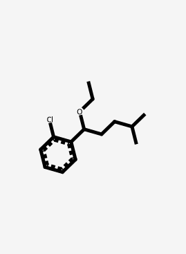 CCOC(CCC(C)C)c1ccccc1Cl